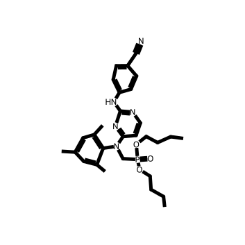 CCCCOP(=O)(CN(c1ccnc(Nc2ccc(C#N)cc2)n1)c1c(C)cc(C)cc1C)OCCCC